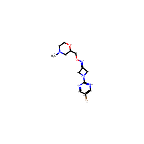 CN1CCOC(CON=C2CN(c3ncc(Br)cn3)C2)C1